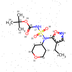 CCc1cnoc1N(C1CCOCC1)S(=O)(=O)NC(=O)OC(C)(C)C